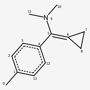 Cc1ccc(C(=C2CC2)N(C)C)cc1